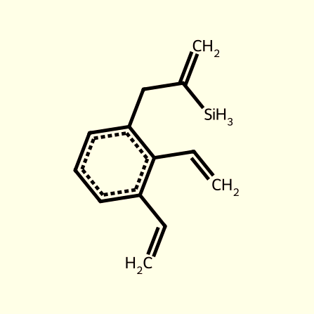 C=Cc1cccc(CC(=C)[SiH3])c1C=C